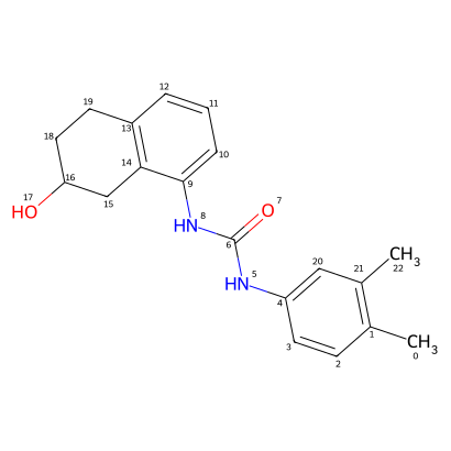 Cc1ccc(NC(=O)Nc2cccc3c2CC(O)CC3)cc1C